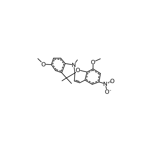 COc1ccc2c(c1)C(C)(C)C1(C=Cc3cc([N+](=O)[O-])cc(OC)c3O1)N2C